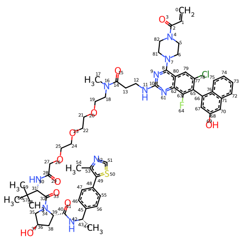 C=CC(=O)N1CCN(c2nc(NCCC(=O)N(C)CCOCCOCCOCC(=O)N[C@H](C(=O)N3C[C@H](O)C[C@H]3C(=O)N[C@@H](C)c3ccc(-c4scnc4C)cc3)C(C)(C)C)nc3c(F)c(-c4cc(O)cc5ccccc45)c(Cl)cc23)CC1